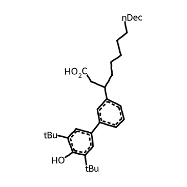 CCCCCCCCCCCCCCCC(CC(=O)O)c1cccc(-c2cc(C(C)(C)C)c(O)c(C(C)(C)C)c2)c1